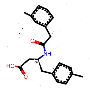 Cc1ccc(C[C@@H](CC(=O)O)NC(=O)Cc2cccc(C)c2)cc1